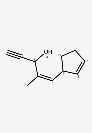 C#CC(O)C(C)=CC1C=CCC1